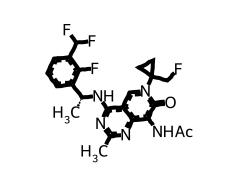 CC(=O)Nc1c(=O)n(C2(CF)CC2)cc2c(N[C@H](C)c3cccc(C(F)F)c3F)nc(C)nc12